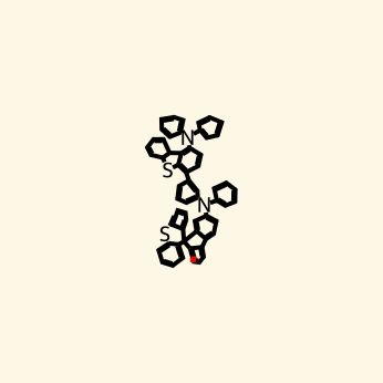 C1=CC2Sc3c(-c4cccc(N(c5ccccc5)c5ccc6c(c5)C5(c7ccccc7Sc7ccccc75)c5ccccc5-6)c4)ccc(N(c4ccccc4)c4ccccc4)c3C2C=C1